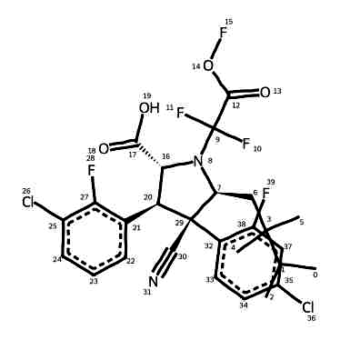 CC(C)C(C)(C)C[C@@H]1N(C(F)(F)C(=O)OF)[C@@H](C(=O)O)[C@H](c2cccc(Cl)c2F)[C@@]1(C#N)c1ccc(Cl)cc1F